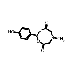 CN1CC(=O)OB(c2ccc(O)cc2)OC(=O)C1